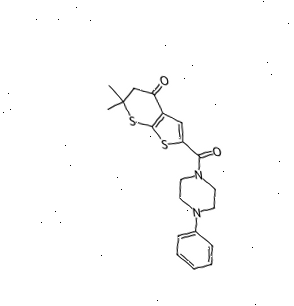 CC1(C)CC(=O)c2cc(C(=O)N3CCN(c4ccccc4)CC3)sc2S1